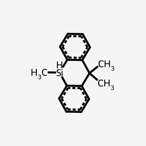 C[SiH]1c2ccccc2C(C)(C)c2ccccc21